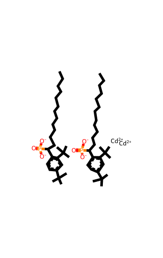 CCCCCCCCCCCCC(c1ccc(C(C)(C)C)cc1C(C)(C)C)P(=O)([O-])[O-].CCCCCCCCCCCCC(c1ccc(C(C)(C)C)cc1C(C)(C)C)P(=O)([O-])[O-].[Cd+2].[Cd+2]